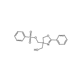 O=S(=O)(OCC1(CO)COC(c2ccccc2)=N1)c1ccccc1